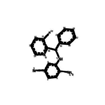 Nc1ccc(Br)cc1NC(c1ccccc1)c1ncccc1F